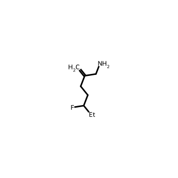 C=C(CN)CCC(F)CC